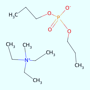 CCCOP(=O)([O-])OCCC.CC[N+](C)(CC)CC